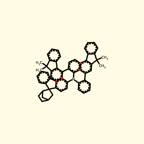 CC1(C)c2ccccc2-c2ccc(-c3ccccc3N(c3ccc4c(c3)-c3ccccc3C43CC4CCC3C4)c3ccccc3-c3cccc4c3-c3ccccc3C4(C)C)cc21